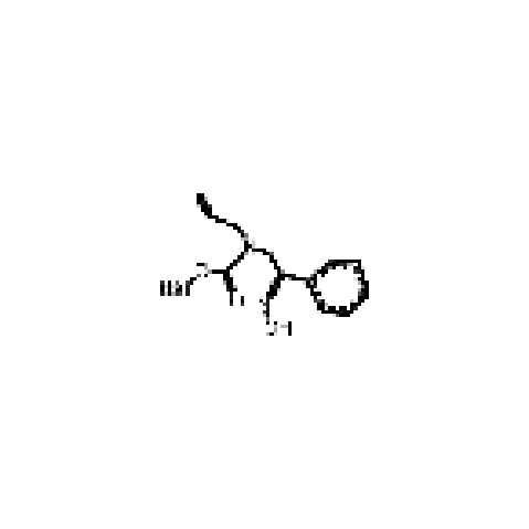 C=CCN(C/C(=N/O)c1ccccc1)C(=O)OC(C)(C)C